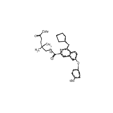 COC(=O)CCC(C)(C)CNC(=O)c1cc2cc(Oc3ccc(C(C)(C)C)cc3)ccc2c(CC2CCCC2)n1